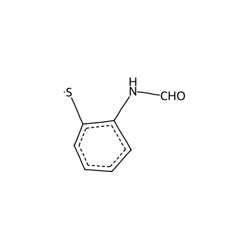 O=CNc1ccccc1[S]